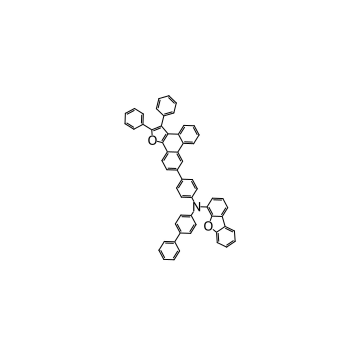 c1ccc(-c2ccc(N(c3ccc(-c4ccc5c(c4)c4ccccc4c4c(-c6ccccc6)c(-c6ccccc6)oc54)cc3)c3cccc4c3oc3ccccc34)cc2)cc1